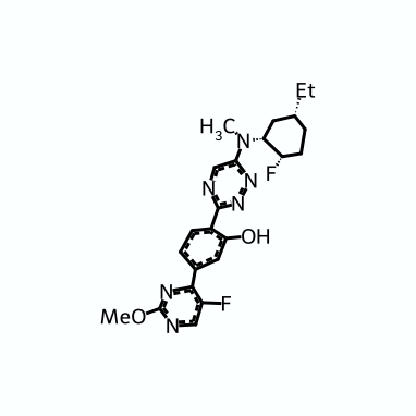 CC[C@@H]1CC[C@H](F)[C@H](N(C)c2cnc(-c3ccc(-c4nc(OC)ncc4F)cc3O)nn2)C1